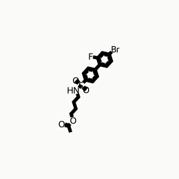 CC(=O)OCCCCNS(=O)(=O)c1ccc(-c2ccc(Br)cc2F)cc1